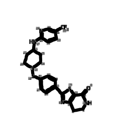 O=C1NCCc2nc(-c3ccc(SN4CCC(Nc5ccc(C(F)(F)F)cn5)CC4)cc3)sc21